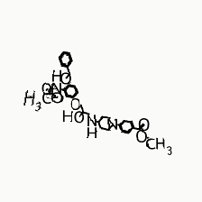 CCOC(=O)c1ccc(N2CCC(NCC(O)COc3ccc(OCc4ccccc4)c(NS(C)(=O)=O)c3)CC2)cc1